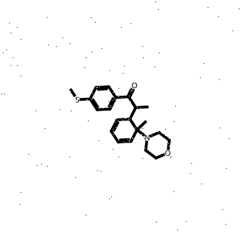 CSc1ccc(C(=O)C(C)C2C=CC=CC2(C)N2CCOCC2)cc1